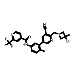 Cc1ccc(NC(=O)c2ccnc(C(F)(F)F)c2)cc1-c1cnc(CN2CC(C)(O)C2)c(C#N)c1